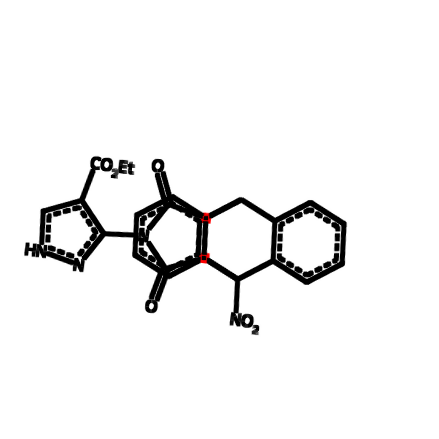 CCOC(=O)c1c[nH]nc1N1C(=O)C2=C(C1=O)C1([N+](=O)[O-])c3ccccc3C2c2ccccc21